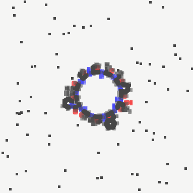 CC(C)C[C@@H]1NC(=O)[C@H](CC(C)C)NC(=O)[C@H](C)N(C)C(=O)C[C@@H](C(=O)N2CCCCC2)NC(=O)[C@H](C(C)C)N(C)C(O)[C@H](CC(C)C)NC(=O)[C@H](Cc2ccccc2)NC(=O)[C@H]([C@@H](C)O)NC(=O)[C@@H]2CCCCN2C(=O)[C@H](CC(C)C)NC(=O)[C@H](C)NC1=O